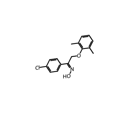 Cc1cccc(C)c1OCC(=NO)c1ccc(Cl)cc1